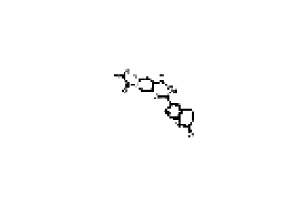 CC(N)C(=O)N1CCC(C(C)NC(=O)c2ccc3c(c2)CCC(=O)N3)CC1